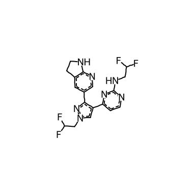 FC(F)CNc1nccc(-c2cn(CC(F)F)nc2-c2cnc3c(c2)CCN3)n1